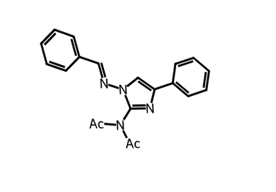 CC(=O)N(C(C)=O)c1nc(-c2ccccc2)cn1/N=C/c1ccccc1